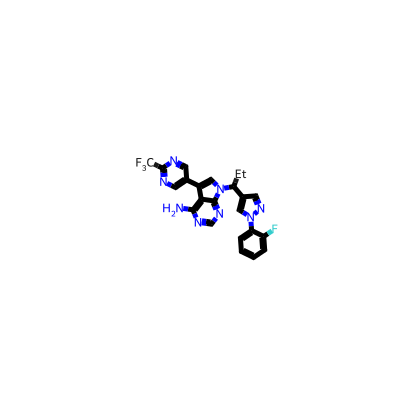 CCC(c1cnn(-c2ccccc2F)c1)n1cc(-c2cnc(C(F)(F)F)nc2)c2c(N)ncnc21